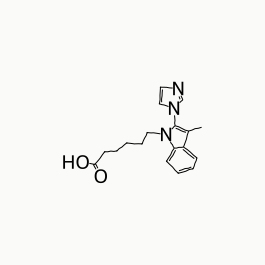 Cc1c(-n2ccnc2)n(CCCCCC(=O)O)c2ccccc12